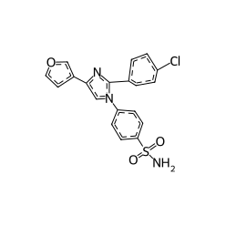 NS(=O)(=O)c1ccc(-n2cc(-c3ccoc3)nc2-c2ccc(Cl)cc2)cc1